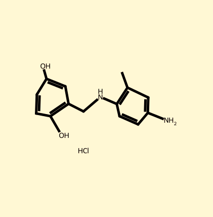 Cc1cc(N)ccc1NCc1cc(O)ccc1O.Cl